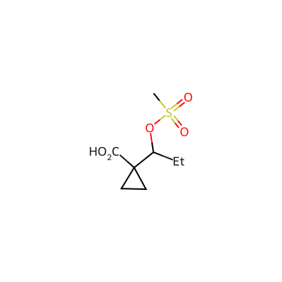 CCC(OS(C)(=O)=O)C1(C(=O)O)CC1